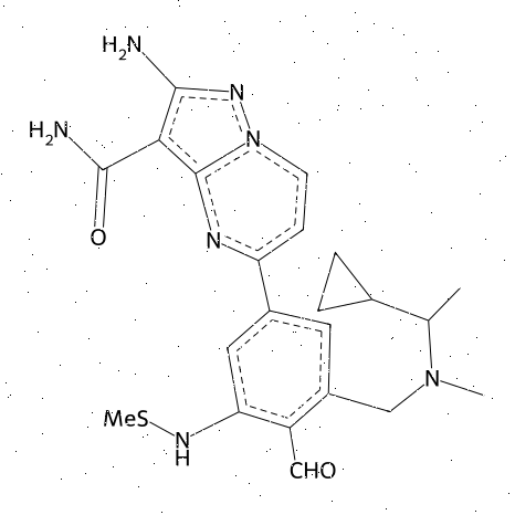 CSNc1cc(-c2ccn3nc(N)c(C(N)=O)c3n2)cc(CN(C)C(C)C2CC2)c1C=O